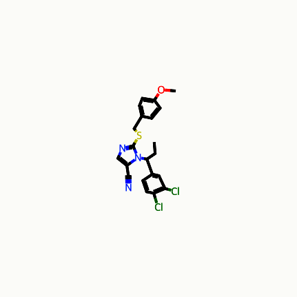 CCC(c1ccc(Cl)c(Cl)c1)n1c(C#N)cnc1SCc1ccc(OC)cc1